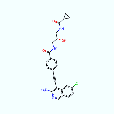 Nc1ncc2ccc(Cl)cc2c1C#Cc1ccc(C(=O)NCC(O)CNC(=O)C2CC2)cc1